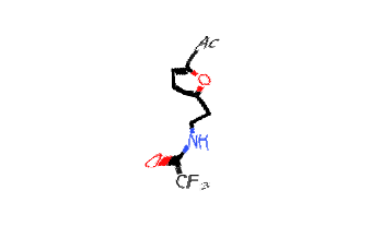 CC(=O)c1ccc(CCNC(=O)C(F)(F)F)o1